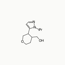 CC(C)n1nccc1C1COCCC1CO